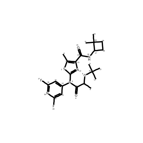 Cc1sc(N(C(=O)C(C)OC(C)(C)C)c2cc(F)nc(F)c2)nc1C(=O)NC1CCC1(C)C